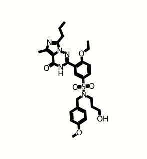 CCCc1nc(C)c2c(=O)[nH]c(-c3cc(S(=O)(=O)N(CCCO)Cc4ccc(OC)cc4)ccc3OCC)nn12